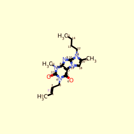 C/C=C/Cn1c(=O)c2c(nc3n(CCCC)c(C)cn23)n(C)c1=O